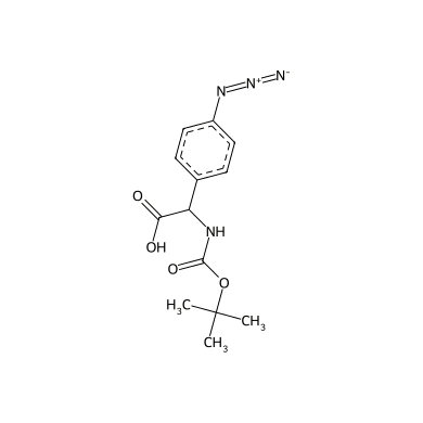 CC(C)(C)OC(=O)NC(C(=O)O)c1ccc(N=[N+]=[N-])cc1